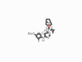 CSc1ccc(Nc2ncnc(OCC3CC4CCC(C3)N4C(=O)OC3(C)CC3)c2C)c(F)c1